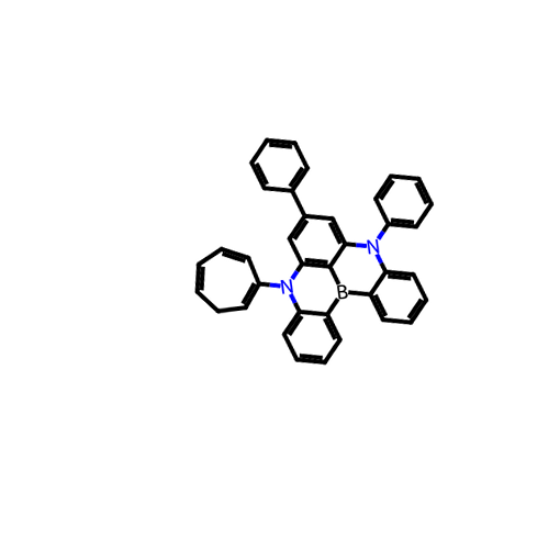 C1=CCC=C(N2c3ccccc3B3c4ccccc4N(c4ccccc4)c4cc(-c5ccccc5)cc2c43)C=C1